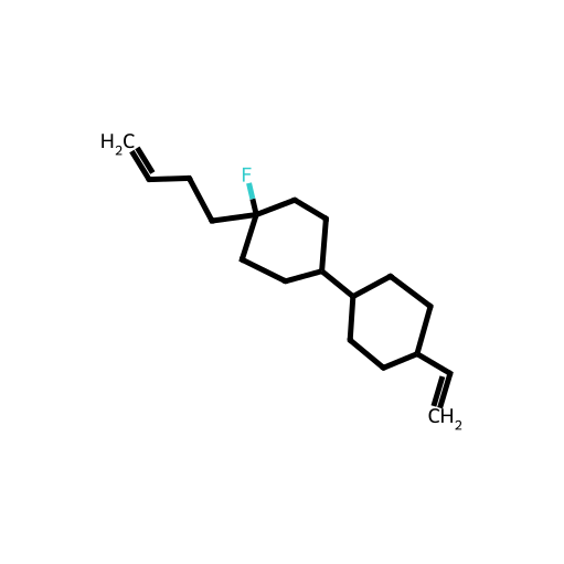 C=CCCC1(F)CCC(C2CCC(C=C)CC2)CC1